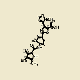 Cc1[nH]c(C(=O)N[C@@H]2CCN(c3nc(-c4ncnn4C)c(C(=O)O)s3)C[C@@H]2F)c(Cl)c1Br